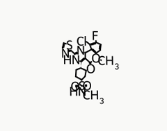 CNS(=O)(=O)[C@H]1CC[C@H](C2=C(C(=O)OC)C(c3cccc(F)c3Cl)N=C(c3nccs3)N2)CC1